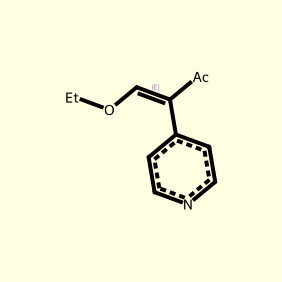 CCO/C=C(/C(C)=O)c1ccncc1